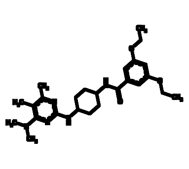 CCOc1cc(OCC)cc(C(=O)NC2CCC(Nc3nc(C)c(C)c(N(C)C)n3)CC2)c1